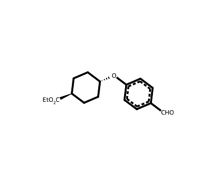 CCOC(=O)[C@H]1CC[C@H](Oc2ccc(C=O)cc2)CC1